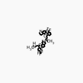 CNCCC(Oc1cccc2cc(N(C)CCC(Oc3cccc4ncccc34)c3cccc(C(F)(F)F)n3)ncc12)c1ccc(C(F)(F)F)nc1